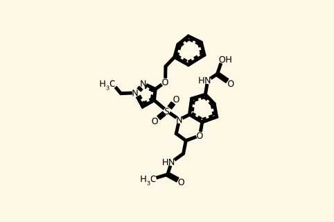 CCn1cc(S(=O)(=O)N2CC(CNC(C)=O)Oc3ccc(NC(=O)O)cc32)c(OCc2ccccc2)n1